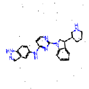 c1ccc2c(c1)C(C1CCCNC1)CN2c1nccc(Nc2ccc3[nH]ncc3c2)n1